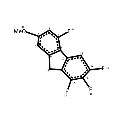 COc1cc(F)c2c(c1)Cc1c-2cc(F)c(F)c1F